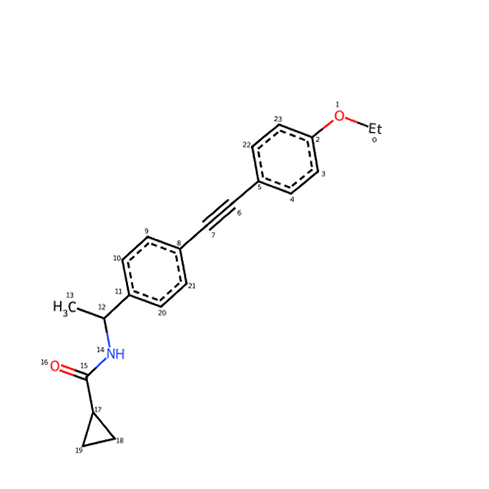 CCOc1ccc(C#Cc2ccc(C(C)NC(=O)C3CC3)cc2)cc1